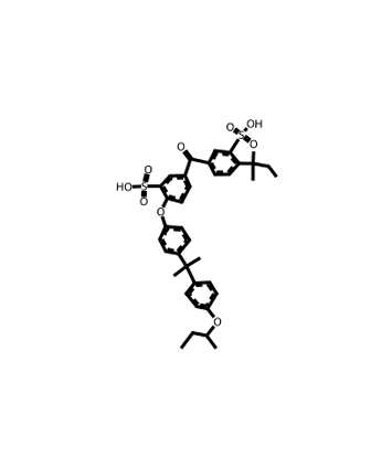 CCC(C)Oc1ccc(C(C)(C)c2ccc(Oc3ccc(C(=O)c4ccc(C(C)(C)CC)c(S(=O)(=O)O)c4)cc3S(=O)(=O)O)cc2)cc1